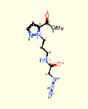 COC(=O)c1ccnn1CCCNC(=O)CN=[N+]=[N-]